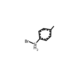 Cc1ccc([SiH2]Br)cc1